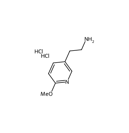 COc1ccc(CCN)cn1.Cl.Cl